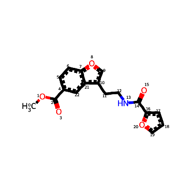 COC(=O)c1ccc2occ(CCNC(=O)c3ccco3)c2c1